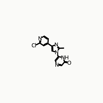 Cc1nc(-c2ccnc(Cl)c2)cn1-c1cncc(=O)[nH]1